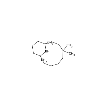 CC1(C)CCCCC2(C)BC(C)(CCC2)CC1